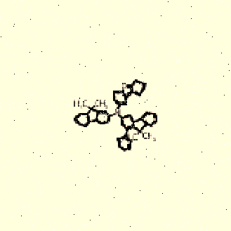 CC1(C)c2ccccc2-c2ccc(N(c3cc(-c4ccccc4)c4c(c3)-c3ccccc3C4(C)C)c3ccc4oc5ccccc5c4c3)cc21